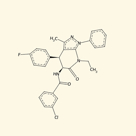 CCN1C(=O)[C@@H](NC(=O)c2cccc(Cl)c2)[C@@H](c2ccc(F)cc2)c2c(C)nn(-c3ccccc3)c21